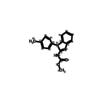 COC(=O)Nc1nc2c[c]ccc2n1-c1ccc(C)cc1